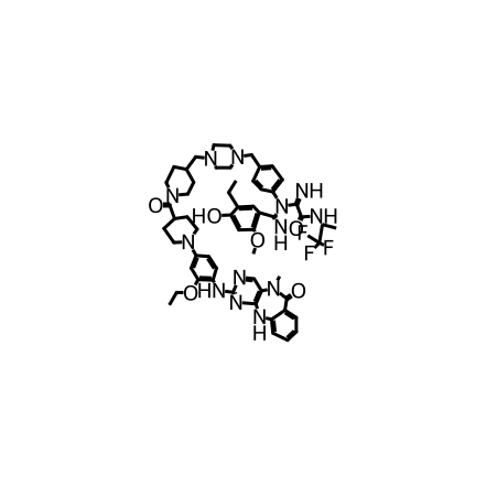 CCOc1cc(N2CCC(C(=O)N3CCC(CN4CCN(Cc5ccc(N(C(=N)C(=O)NC(C)C(F)(F)F)C(=N)c6cc(CC)c(O)cc6OC)cc5)CC4)CC3)CC2)ccc1Nc1ncc2c(n1)Nc1ccccc1C(=O)N2C